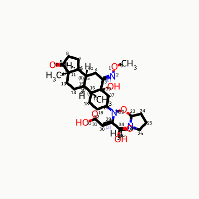 CO/N=C1\C[C@H]2[C@@H]3CCC(=O)[C@@]3(C)CC[C@@H]2[C@@]2(C)CCC(N(OC3CCCN3C)/C(=C\C(=O)O)C(=O)O)C[C@]12O